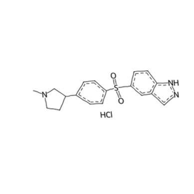 CN1CCC(c2ccc(S(=O)(=O)c3ccc4[nH]ncc4c3)cc2)C1.Cl